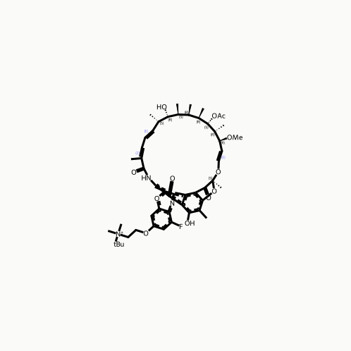 CO[C@H]1/C=C/O[C@@]2(C)Oc3c(C)c(O)c4c(=O)c(c5oc6cc(OCC[N+](C)(C)C(C)(C)C)cc(F)c6nc-5c4c3C2=O)NC(=O)/C(C)=C\C=C\[C@H](C)[C@H](O)[C@@H](C)[C@@H](C)[C@@H](C)[C@H](OC(C)=O)[C@@H]1C